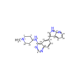 CN1CCC(Nc2ncnc3ccc(-c4c[nH]c5ncccc45)cc23)CC1